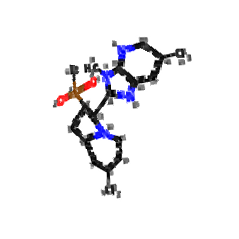 CCS(=O)(=O)c1cc2cc(C(F)(F)F)ccn2c1-c1nc2cc(C(F)(F)F)cnc2n1C